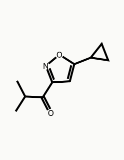 CC(C)C(=O)c1cc(C2CC2)on1